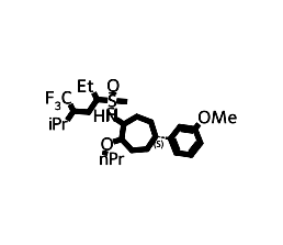 CCCOC1CC[C@@H](c2cccc(OC)c2)CCC1N[SH](C)(=O)C(CC)CC(C(C)C)C(F)(F)F